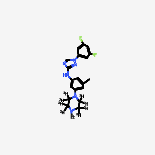 [2H]C1([2H])N(CC)C([2H])([2H])C([2H])([2H])N(c2cc(C)cc(Nc3ncn(-c4cc(F)cc(F)c4)n3)c2)C1([2H])[2H]